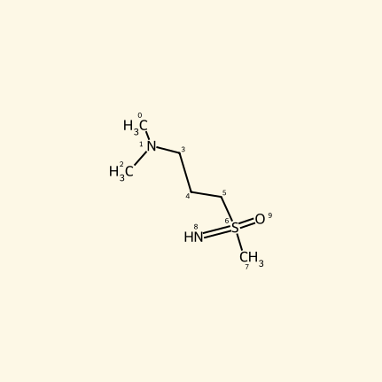 CN(C)CCCS(C)(=N)=O